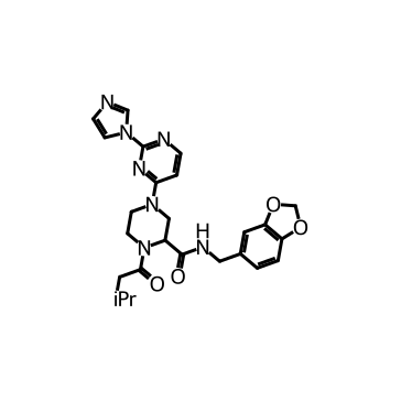 CC(C)CC(=O)N1CCN(c2ccnc(-n3ccnc3)n2)CC1C(=O)NCc1ccc2c(c1)OCO2